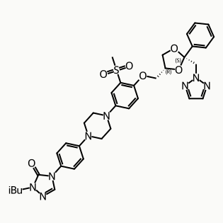 CCC(C)n1ncn(-c2ccc(N3CCN(c4ccc(OC[C@@H]5CO[C@@](Cn6nccn6)(c6ccccc6)O5)c(S(C)(=O)=O)c4)CC3)cc2)c1=O